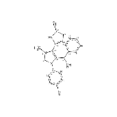 CN1CC(c2ccc(Cl)cc2)C(C(O)c2cccnc2)=C1C1=CCC(Cl)S1